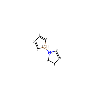 C1=C[SH](N2C=CCC2)C=C1